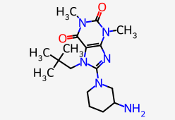 Cn1c(=O)c2c(nc(N3CCCC(N)C3)n2CC(C)(C)C)n(C)c1=O